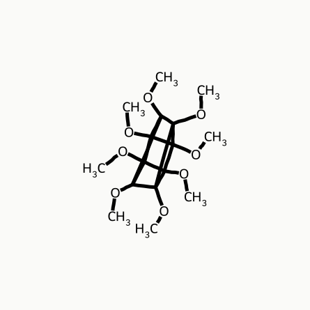 COC12C3(OC)C4(OC)C1(OC)C1(OC)C2(OC)C3(OC)C41OC